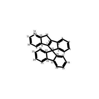 c1ccc2c(c1)C1=C(c3cccnc3C1)C21c2ccccc2-c2ccccc21